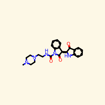 CN1CCN(CCNC(=O)N2C(=O)/C(=C3\Nc4ccccc4C3=O)c3ccccc32)CC1